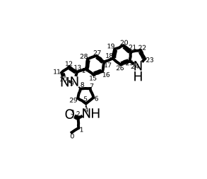 CCC(=O)N[C@H]1CC[C@@H](n2nccc2-c2ccc(-c3ccc4cc[nH]c4c3)cc2)C1